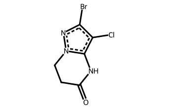 O=C1CCn2nc(Br)c(Cl)c2N1